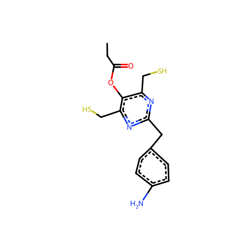 CCC(=O)Oc1c(CS)nc(Cc2ccc(N)cc2)nc1CS